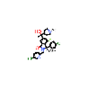 CO[C@]1(c2ccc(Cl)cc2)c2c(F)cc(C(C)(O)C3CCN(C(C)=O)CC3)cc2C(=O)N1Cc1ccc(Cl)cn1